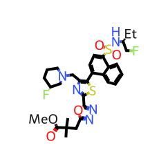 CC[C@@H](CF)NS(=O)(=O)c1ccc(-c2sc(-c3nnc(CC(C)(C)C(=O)OC)o3)nc2CN2CCC[C@@H](F)C2)c2ccccc12